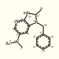 CC(=O)N(C)c1cnc2c(c1)N(Cc1ccccc1)C(C)N2